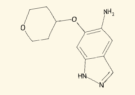 Nc1cc2cn[nH]c2cc1OC1CCOCC1